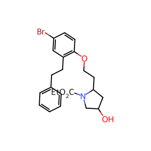 CCOC(=O)N1CC(O)CC1CCOc1ccc(Br)cc1CCc1ccccc1